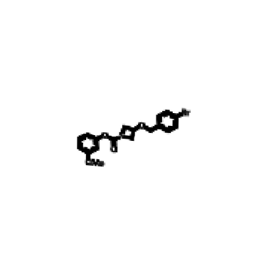 COc1cccc(OC(=O)N2CC(OCc3ccc(Br)cc3)C2)c1